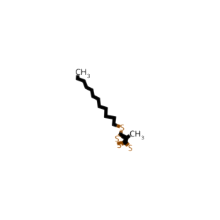 CCCCCCCCCCCCSc1ssc(=S)c1C